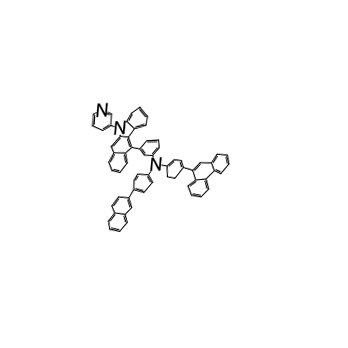 C1=C(c2cc3ccccc3c3ccccc23)CCC(N(c2ccc(-c3ccc4ccccc4c3)cc2)c2cccc(-c3c4ccccc4cc4c3c3ccccc3n4-c3cccnc3)c2)=C1